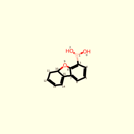 OB(O)c1cccc2c1OC1CC=CC=C21